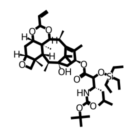 C=CC1O[C@H]2C[C@H]3OC[C@@]3(C)[C@H]3[C@H](C)[C@]4(O)C[C@H](OC(=O)C(O[Si](CC)(CC)CC)[C@H](CC(C)C)NC(=O)OC(C)(C)C)C(C)=C([C@H](C)[C@H](O1)[C@]23C)C4(C)C